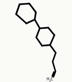 C=CCCC1CCC(C2CCCCC2)CC1